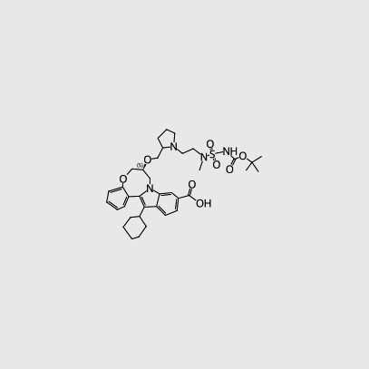 CN(CCN1CCCC1CO[C@@H]1COc2ccccc2-c2c(C3CCCCC3)c3ccc(C(=O)O)cc3n2C1)S(=O)(=O)NC(=O)OC(C)(C)C